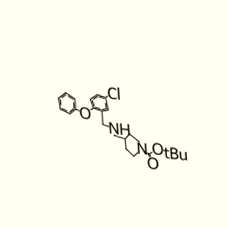 CC(C)(C)OC(=O)N1CCC(CNCc2cc(Cl)ccc2Oc2ccccc2)CC1